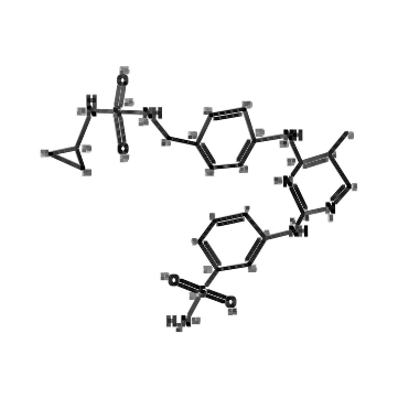 Cc1cnc(Nc2cccc(S(N)(=O)=O)c2)nc1Nc1ccc(CNS(=O)(=O)NC2CC2)cc1